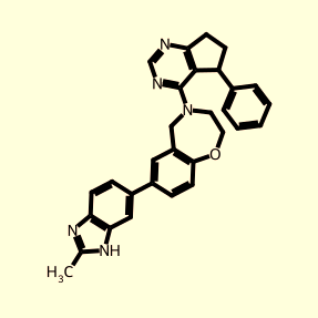 Cc1nc2ccc(-c3ccc4c(c3)CN(c3ncnc5c3C(c3ccccc3)CC5)CCO4)cc2[nH]1